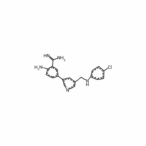 N=C(N)c1cc(-c2cncc(CNc3ccc(Cl)cc3)c2)ccc1N